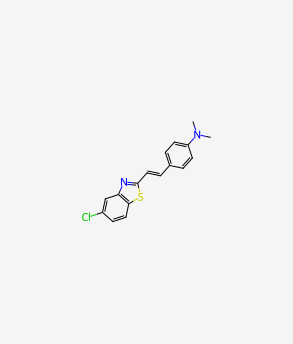 CN(C)c1ccc(/C=C/c2nc3cc(Cl)ccc3s2)cc1